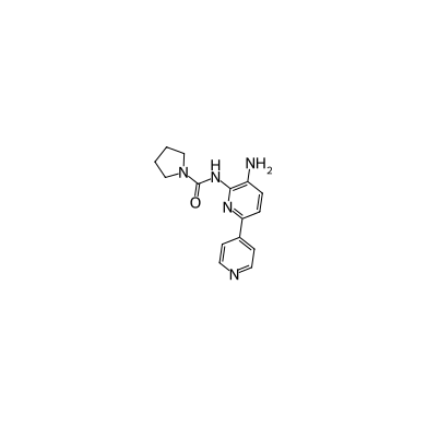 Nc1ccc(-c2ccncc2)nc1NC(=O)N1CCCC1